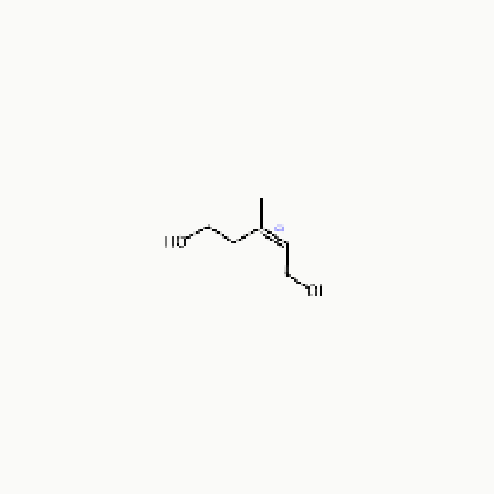 C/C(=C/CO)CCO